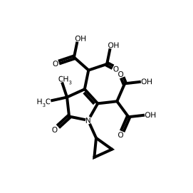 CC1(C)C(=O)N(C2CC2)C(C(C(=O)O)C(=O)O)=C1C(C(=O)O)C(=O)O